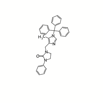 Cc1c(CN2CCN(c3ccccc3)C2=O)ncn1C(c1ccccc1)(c1ccccc1)c1ccccc1